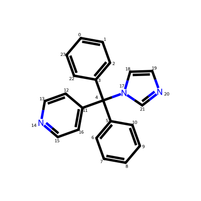 c1ccc(C(c2ccccc2)(c2ccncc2)n2ccnc2)cc1